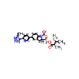 CC(C)[C@H](C)C(=O)OC[C@@H]1OC(=O)N2c3ccc(-c4ccc(-c5nnnn5C)nc4)cc3C[C@@H]12